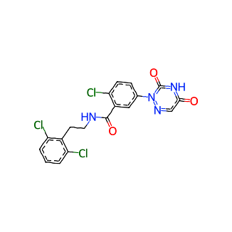 O=C(NCCc1c(Cl)cccc1Cl)c1cc(-n2ncc(=O)[nH]c2=O)ccc1Cl